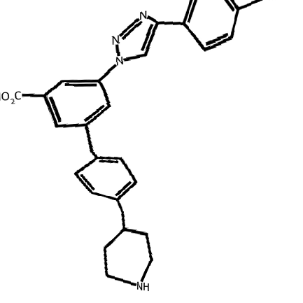 CC(C)c1ccc(-c2cn(-c3cc(C(=O)O)cc(-c4ccc(C5CCNCC5)cc4)c3)nn2)cc1